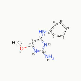 COc1cc(Nc2ccccc2)nc(N)n1